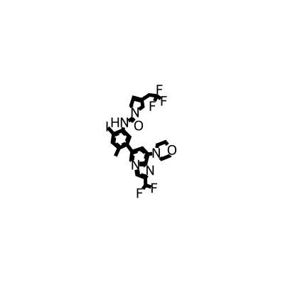 Cc1cc(I)c(NC(=O)N2CC=C(CC(F)(F)F)C2)cc1-c1cc(N2CCOCC2)c2nc(C(F)F)cn2c1